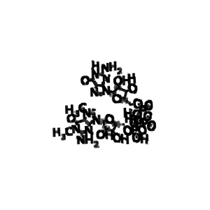 Cn1c(N)nc2c(c1=O)[n+](C)cn2[C@@H]1O[C@H](COP(=O)(O)OP(=O)(O)OP(=O)(O)OC[C@H]2O[C@@H](n3cnc4c(=O)[nH]c(N)nc43)[C@@H](O)C2O)C(O)[C@@H]1O